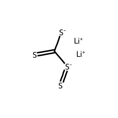 S=[S-]C(=S)[S-].[Li+].[Li+]